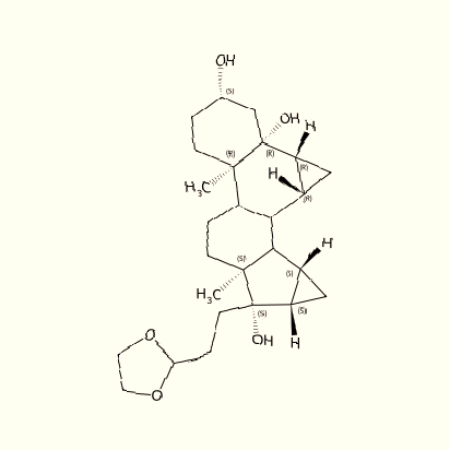 C[C@]12CCC3C(C1[C@@H]1C[C@@H]1[C@@]2(O)CCC1OCCO1)[C@H]1C[C@H]1[C@]1(O)C[C@@H](O)CC[C@]31C